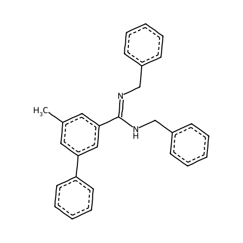 Cc1cc(/C(=N/Cc2ccccc2)NCc2ccccc2)cc(-c2ccccc2)c1